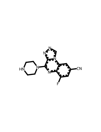 N#Cc1cc(F)c2nc(N3CCNCC3)c3nncn3c2c1